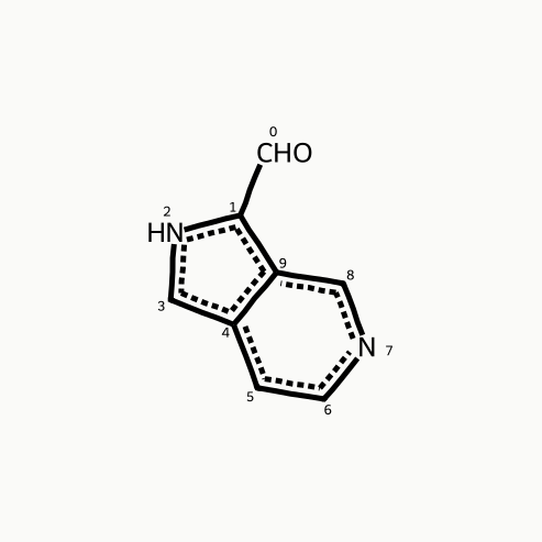 O=Cc1[nH]cc2ccncc12